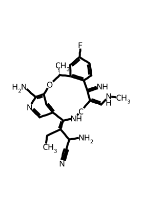 CC/C(=C1/NC/C(=C/NC)C(=N)c2ccc(F)cc2[C@@H](C)Oc2cc1cnc2N)C(N)C#N